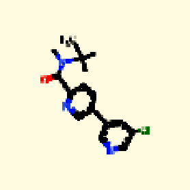 CN(C(=O)c1ccc(-c2cncc(Cl)c2)cn1)C(C)(C)C(F)(F)F